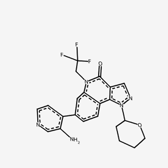 Nc1cnccc1-c1ccc2c3c(cnn3C3CCCCO3)c(=O)n(CC(F)(F)F)c2c1